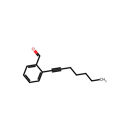 CCCCCC#Cc1ccccc1C=O